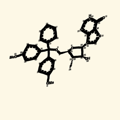 COc1ccc(C(OC[C@H]2O[C@@H](n3cnc4c(=O)[nH]cnc43)[C@H](O)[C@@H]2F)(c2ccccc2)c2ccc(OC)cc2)cc1